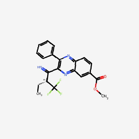 CC[C@H](C(=N)c1nc2cc(C(=O)OC)ccc2nc1-c1ccccc1)C(F)(F)F